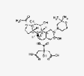 CC(=O)[C@H]1CC[C@H]2[C@@H]3CCC4C[C@H](O)[C@@H](N5CCOC(C)(C)C5)C[C@]4(C)[C@H]3C(O)C[C@]12C.O=C(O)CC(O)(CC(=O)O)C(=O)O